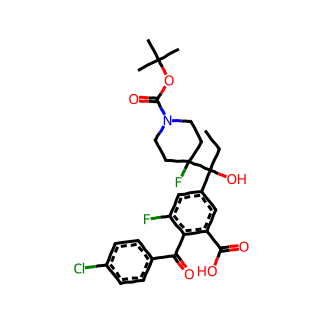 CCC(O)(c1cc(F)c(C(=O)c2ccc(Cl)cc2)c(C(=O)O)c1)C1(F)CCN(C(=O)OC(C)(C)C)CC1